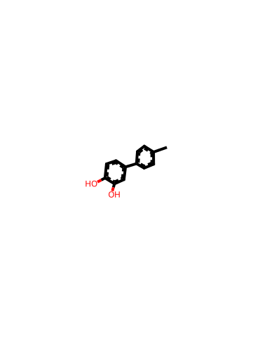 Cc1ccc(-c2ccc(O)c(O)c2)cc1